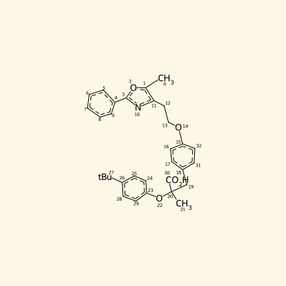 Cc1oc(-c2ccccc2)nc1CCOc1ccc(CC(C)(Oc2ccc(C(C)(C)C)cc2)C(=O)O)cc1